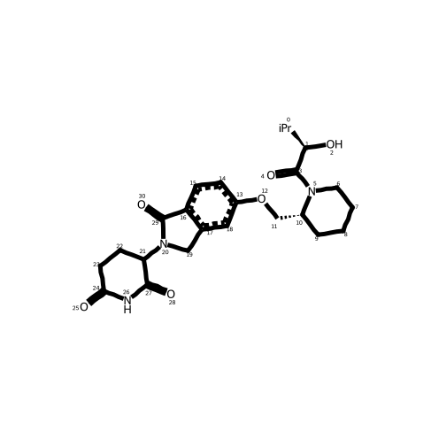 CC(C)[C@@H](O)C(=O)N1CCCC[C@@H]1COc1ccc2c(c1)CN(C1CCC(=O)NC1=O)C2=O